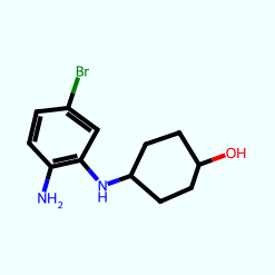 Nc1ccc(Br)cc1NC1CCC(O)CC1